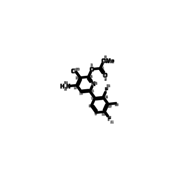 COC(=O)Oc1nc(-c2ccc(F)c(C)c2F)cc(N)c1Cl